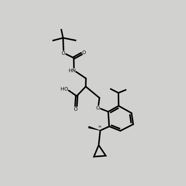 CC(C)c1cccc([C@H](C)C2CC2)c1OCC(CNC(=O)OC(C)(C)C)C(=O)O